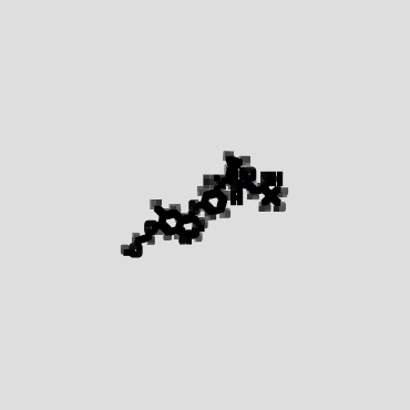 COCCOc1cc2ncnc(Sc3cccc(NC(N/C(O)=C/C(=N)C(C)(C)C)=C4CC4)c3)c2cc1C